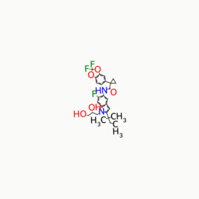 CCC(C)(C)c1cc2cc(NC(=O)C3(c4ccc5c(c4)OC(F)(F)O5)CC3)c(F)cc2n1C[C@@H](O)CO